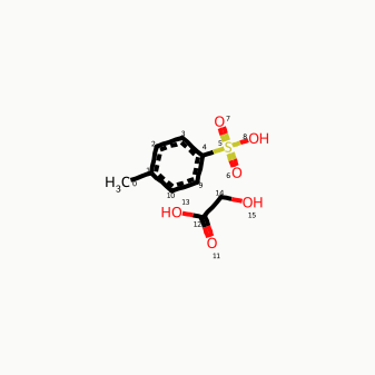 Cc1ccc(S(=O)(=O)O)cc1.O=C(O)CO